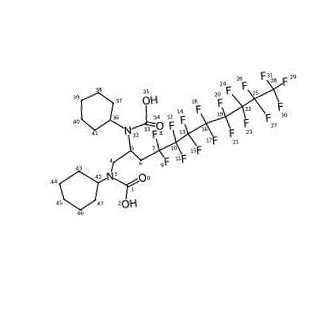 O=C(O)N(CC(CC(F)(F)C(F)(F)C(F)(F)C(F)(F)C(F)(F)C(F)(F)C(F)(F)C(F)(F)F)N(C(=O)O)C1CCCCC1)C1CCCCC1